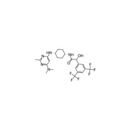 Cc1nc(N[C@H]2CC[C@@H](NC(=O)C(O)c3cc(C(F)(F)F)cc(C(F)(F)F)c3)CC2)cc(N(C)C)n1